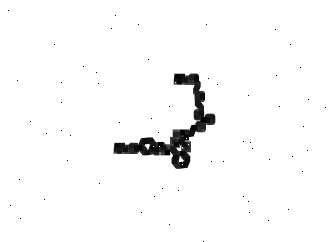 COCCOCCOC(=O)OCCNc1nc(NCc2ccc(OC)cc2)c2ccccc2n1